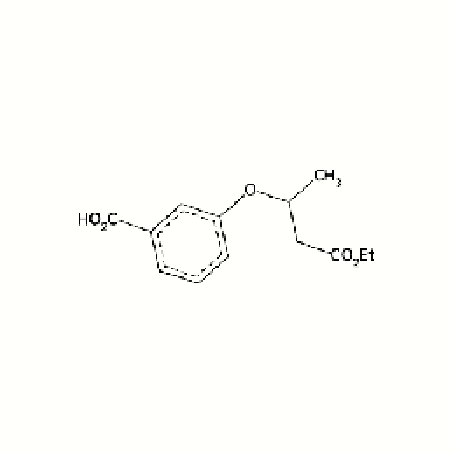 CCOC(=O)CC(C)Oc1cccc(C(=O)O)c1